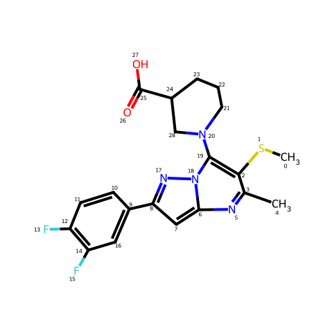 CSc1c(C)nc2cc(-c3ccc(F)c(F)c3)nn2c1N1CCCC(C(=O)O)C1